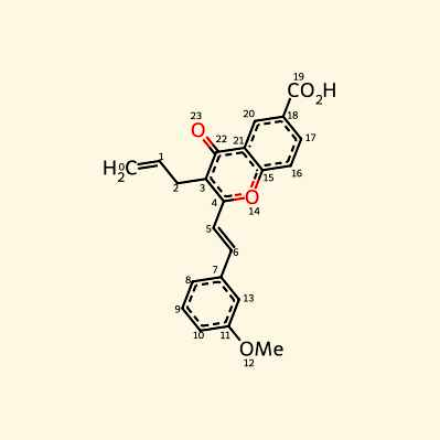 C=CCc1c(/C=C/c2cccc(OC)c2)oc2ccc(C(=O)O)cc2c1=O